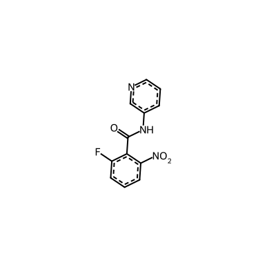 O=C(Nc1cccnc1)c1c(F)cccc1[N+](=O)[O-]